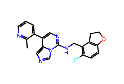 Cc1ncccc1-c1cnc(NCc2c(F)ccc3c2CCO3)n2cncc12